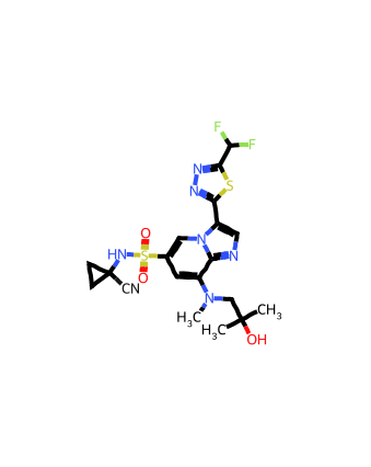 CN(CC(C)(C)O)c1cc(S(=O)(=O)NC2(C#N)CC2)cn2c(-c3nnc(C(F)F)s3)cnc12